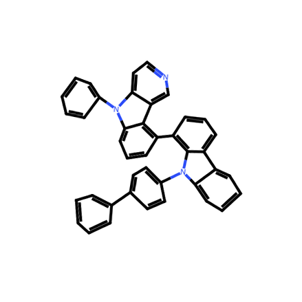 c1ccc(-c2ccc(-n3c4ccccc4c4cccc(-c5cccc6c5c5cnccc5n6-c5ccccc5)c43)cc2)cc1